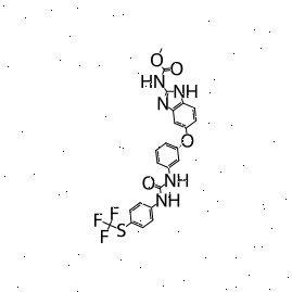 COC(=O)Nc1nc2cc(Oc3cccc(NC(=O)Nc4ccc(SC(F)(F)F)cc4)c3)ccc2[nH]1